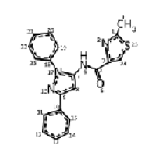 Cc1nc(C(=O)Nc2cc(-c3ccccc3)nn2-c2ccccc2)cs1